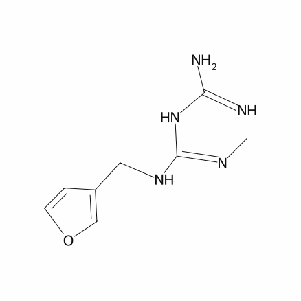 C/N=C(/NCc1ccoc1)NC(=N)N